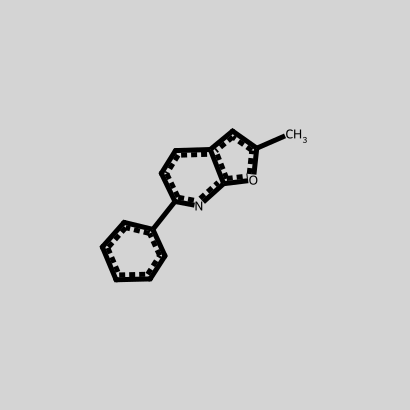 Cc1cc2ccc(-c3ccccc3)nc2o1